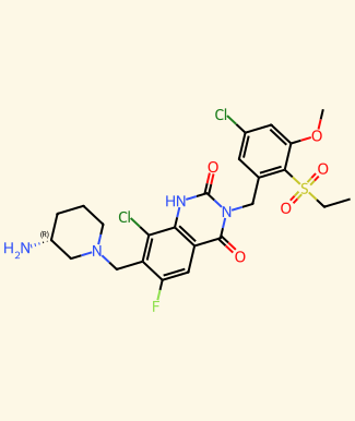 CCS(=O)(=O)c1c(Cn2c(=O)[nH]c3c(Cl)c(CN4CCC[C@@H](N)C4)c(F)cc3c2=O)cc(Cl)cc1OC